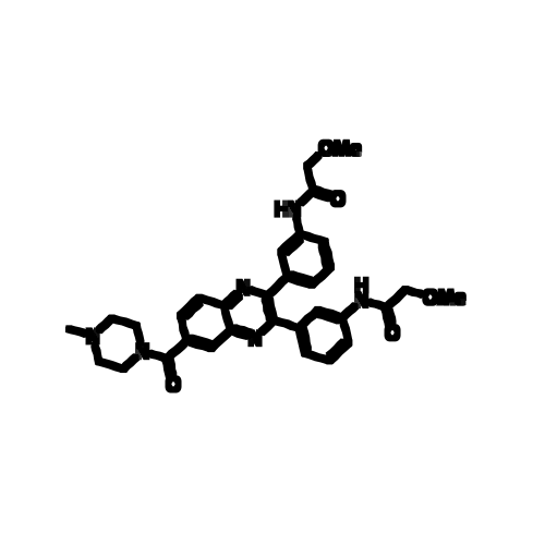 COCC(=O)Nc1cccc(-c2nc3ccc(C(=O)N4CCN(C)CC4)cc3nc2-c2cccc(NC(=O)COC)c2)c1